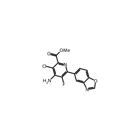 COC(=O)c1nc(-c2ccc3ocnc3c2)c(F)c(N)c1Cl